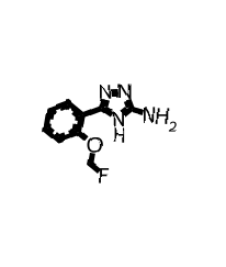 Nc1nnc(-c2ccccc2OCF)[nH]1